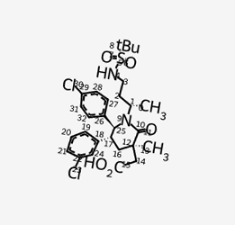 C[C@@H](CCNS(=O)(=O)C(C)(C)C)N1C(=O)[C@@](C)(CC(=O)O)C[C@H](c2cccc(Cl)c2)[C@H]1c1ccc(Cl)cc1